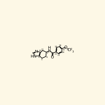 O=C(NC1CCc2[nH]cnc2C1)c1ccc(OC(F)(F)F)cc1